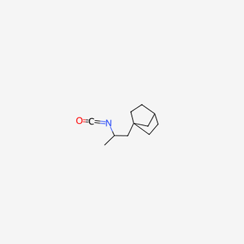 CC(CC12CCC(CC1)C2)N=C=O